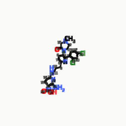 CN1CCN(c2ccc(CCCNc3ccc([NH+]([O-])O)c(N)n3)nc2-c2ccc(Cl)cc2Cl)C(=O)C1